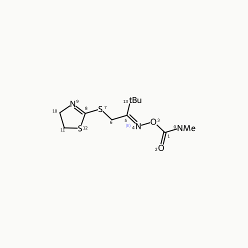 CNC(=O)O/N=C(/CSC1=NCCS1)C(C)(C)C